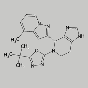 Cc1cccn2nc([C@@H]3c4nc[nH]c4CCN3c3nnc(C(C)(C)C)o3)cc12